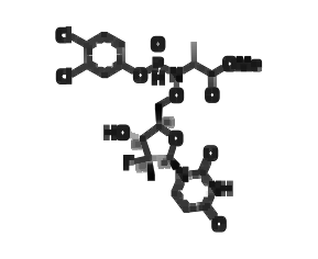 COC(=O)C(C)N(OC[C@H]1O[C@@H](n2ccc(=O)[nH]c2=O)[C@](C)(F)[C@@H]1O)[PH](=O)Oc1ccc(Cl)c(Cl)c1